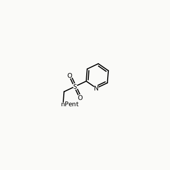 CCCCCCS(=O)(=O)c1ccccn1